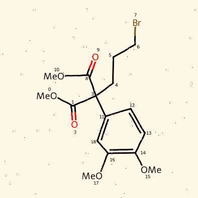 COC(=O)C(CCCBr)(C(=O)OC)c1ccc(OC)c(OC)c1